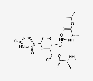 CC(C)OC(=O)[C@H](C)N[PH](=O)OC[C@@H](O[C@H](CBr)n1ccc(=O)[nH]c1=O)[C@H](Cl)OC(=O)[C@H](C)N